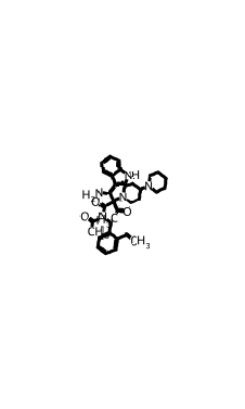 CCc1ccccc1CN(C(C)=O)C(=O)C(C(C)=O)(C(N)c1c[nH]c2ccccc12)N1CCC(N2CCCCC2)CC1